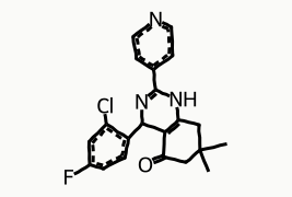 CC1(C)CC(=O)C2=C(C1)NC(c1ccncc1)=NC2c1ccc(F)cc1Cl